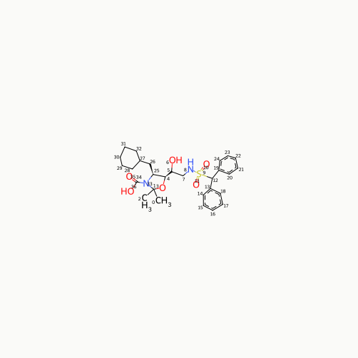 CC1(C)O[C@H](C(O)CNS(=O)(=O)C(c2ccccc2)c2ccccc2)[C@H](CC2CCCCC2)N1C(=O)O